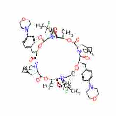 C[C@H]1OC(=O)[C@H](CC2CC2)N(C)C(=O)[C@@H](Cc2ccc(N3CCOCC3)cc2)OC(=O)[C@H](CC(C)(C)F)N(C)C(=O)[C@@H](C)OC(=O)[C@H](CC2CC2)N(C)C(=O)[C@@H](Cc2ccc(N3CCOCC3)cc2)OC[C@H](CC(C)(C)F)N(C)C1=O